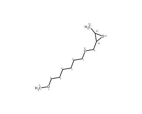 COCCCCCCOCC1OC1C